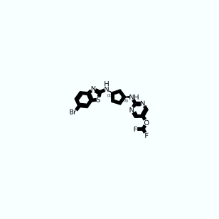 FC(F)Oc1cnc(N[C@H]2CC[C@H](Nc3nc4ccc(Br)cc4s3)C2)nc1